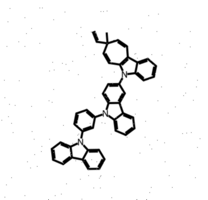 C=CC1(C)C=Cc2c(n(-c3ccc4c(c3)c3ccccc3n4-c3cccc(-n4c5ccccc5c5ccccc54)c3)c3ccccc23)C=C1